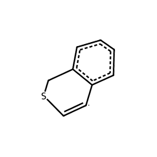 [C]1=CSCc2ccccc21